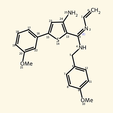 C=C/N=C(/NCc1ccc(OC)cc1)c1sc(-c2cccc(OC)c2)cc1N